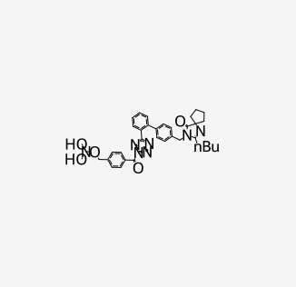 CCCCC1=NC2(CCCC2)C(=O)N1Cc1ccc(-c2ccccc2-c2nnn(C(=O)c3ccc(CON(O)O)cc3)n2)cc1